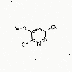 COc1cc(C#N)nnc1Cl